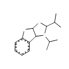 CC(C)C1NC2Oc3ccccc3C2N1C(C)C